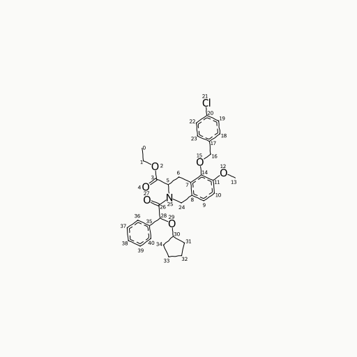 CCOC(=O)C1Cc2c(ccc(OC)c2OCc2ccc(Cl)cc2)CN1C(=O)C(OC1CCCC1)c1ccccc1